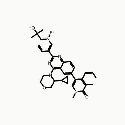 C=C/C(=C\N(CC)CC(C)(C)O)c1nc(N2CCOCC2C2CC2)c2cc(-c3cn(C)c(=O)c(C)c3/C=C\C)ccc2n1